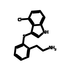 NCCc1ccccc1Sc1c[nH]c2cccc(Cl)c12